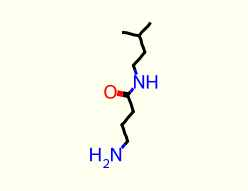 CC(C)CCNC(=O)CCCN